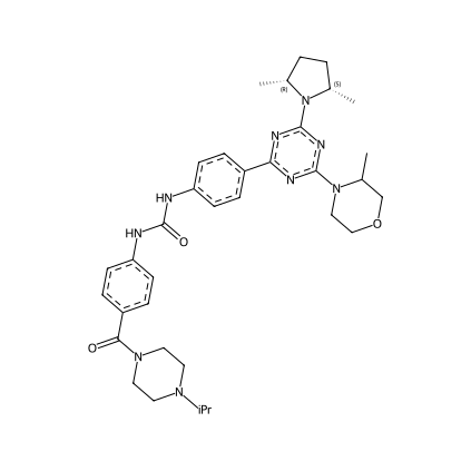 CC(C)N1CCN(C(=O)c2ccc(NC(=O)Nc3ccc(-c4nc(N5CCOCC5C)nc(N5[C@H](C)CC[C@@H]5C)n4)cc3)cc2)CC1